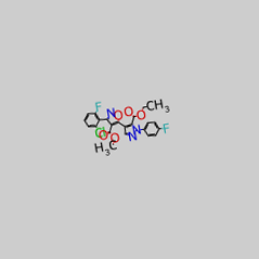 CCOC(=O)c1c(-c2onc(-c3c(F)cccc3Cl)c2C(=O)OC)cnn1-c1ccc(F)cc1